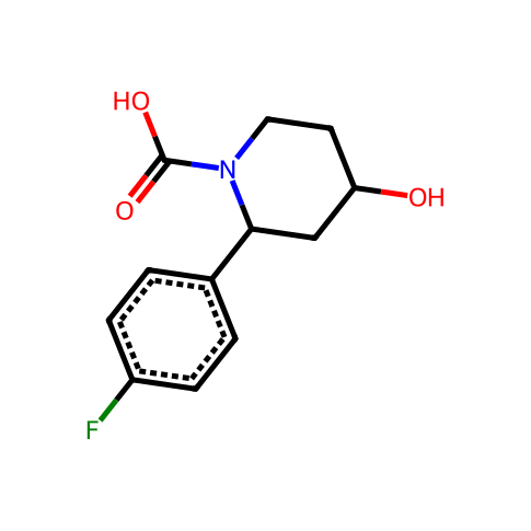 O=C(O)N1CCC(O)CC1c1ccc(F)cc1